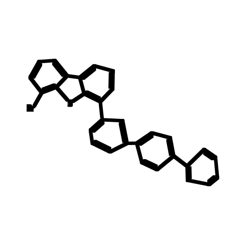 Brc1cccc2c1sc1c(-c3cccc(-c4ccc(-c5ccccc5)cc4)c3)cccc12